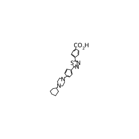 O=C(O)c1ccc(-c2nnc(-c3ccc(N4CCN(C5CCCCC5)CC4)cc3)s2)cc1